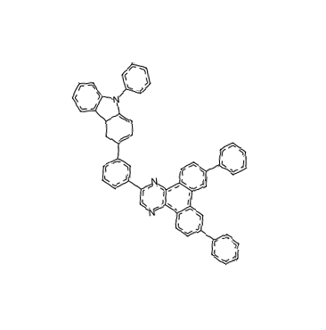 C1=C(c2cccc(-c3cnc4c5ccc(-c6ccccc6)cc5c5cc(-c6ccccc6)ccc5c4n3)c2)CC2C(=C1)N(c1ccccc1)c1ccccc12